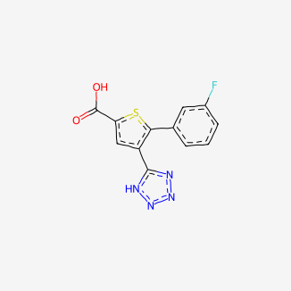 O=C(O)c1cc(-c2nnn[nH]2)c(-c2cccc(F)c2)s1